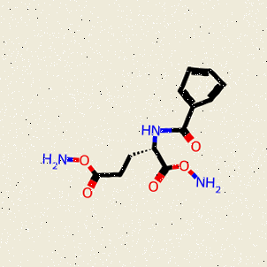 NOC(=O)CC[C@H](NC(=O)c1ccccc1)C(=O)ON